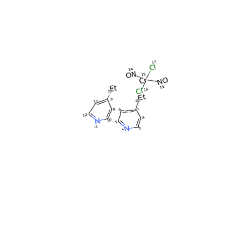 CCc1ccncc1.CCc1ccncc1.O=[N][Cr]([Cl])([Cl])[N]=O